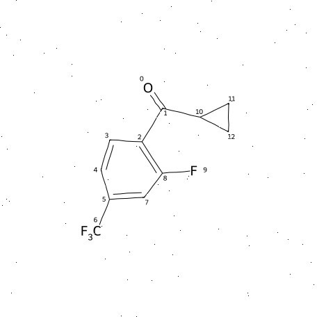 O=C(c1ccc(C(F)(F)F)cc1F)C1CC1